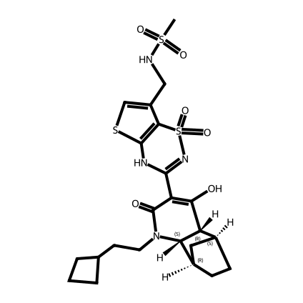 CS(=O)(=O)NCc1csc2c1S(=O)(=O)N=C(C1=C(O)[C@@H]3[C@H]4CC[C@H](C4)[C@@H]3N(CCC3CCC3)C1=O)N2